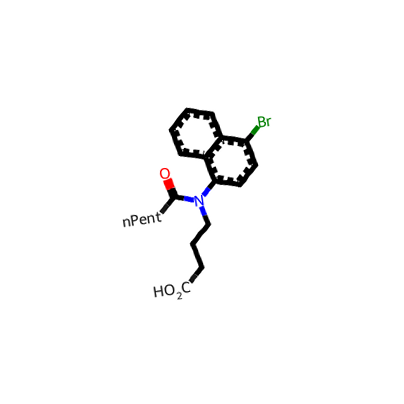 CCCCCC(=O)N(CCCC(=O)O)c1ccc(Br)c2ccccc12